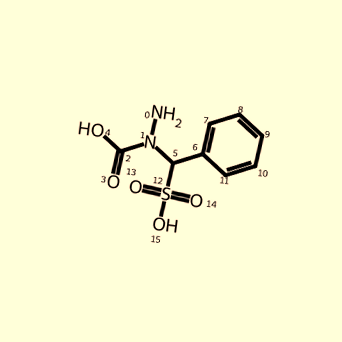 NN(C(=O)O)C(c1ccccc1)S(=O)(=O)O